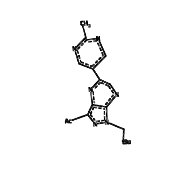 CC(=O)c1nn(CC(C)(C)C)c2ncc(-c3cnc(C)nc3)nc12